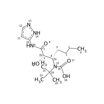 CCCC[C@@H]([C@H](O)C(=O)Nc1ccn[nH]1)N(C(=O)O)C(C)(C)C